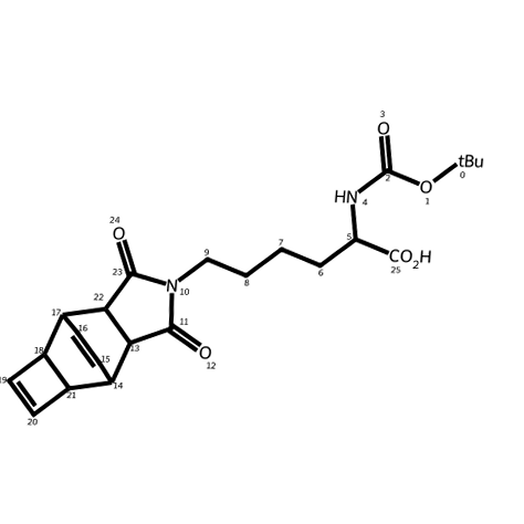 CC(C)(C)OC(=O)NC(CCCCN1C(=O)C2C3C=CC(C4C=CC43)C2C1=O)C(=O)O